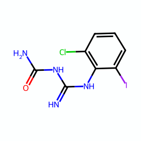 N=C(NC(N)=O)Nc1c(Cl)cccc1I